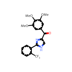 COc1cc(C(=O)c2c[nH]c(-c3ccccc3C(F)(F)F)n2)cc(OC)c1OC